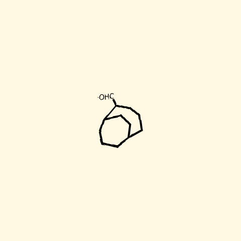 O=[C]C1CCCC2CCCC1CC2